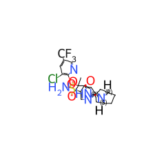 CC(C)(Oc1ncc(C(F)(F)F)cc1Cl)C(=O)N[C@H]1C[C@H]2CC[C@@H](C1)N2c1ccc(S(N)(=O)=O)cn1